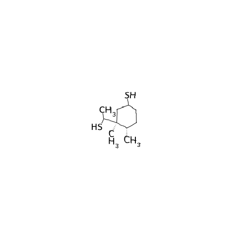 CC(S)[C@@]1(C)CC(S)CC[C@@H]1C